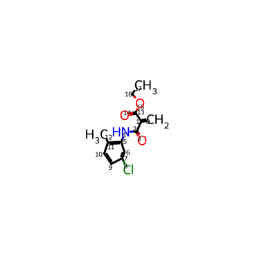 C=C(C(=O)Nc1cc(Cl)ccc1C)C(=O)OCC